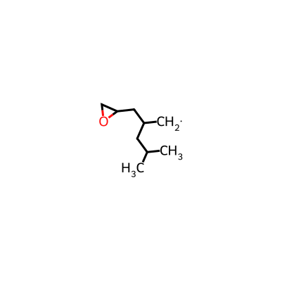 [CH2]C(CC(C)C)CC1CO1